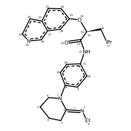 CC/N=C1\CCCCN1c1ccc(NC(=O)[C@H](CC(C)C)Oc2ccc3ccncc3c2)cc1